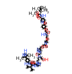 COC(=O)[C@H](CCC(C)(C)C)NC(=O)c1ccc(Oc2cccc(OCC(=O)NCCOC3CN(C(=O)COCc4cn(CC(=O)N(CCO)CCCn5nccc5C(=O)N[C@H](C(=O)Nc5ccc(-c6c(C)n[nH]c6C)cc5)C(C5CC5)C5CC5)nn4)C3)c2)nc1